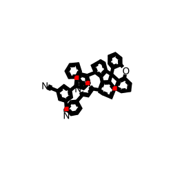 N#Cc1cc(C#N)cc(-c2ccc(-c3cccc4c3-c3c(-c5cc(-c6ccccc6)nc(-c6ccccc6)n5)cccc3C43c4ccccc4Oc4ccccc43)cc2)c1